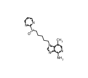 Cc1cnc(N)c2ncn(CCCCC[S+]([O-])c3ncccn3)c12